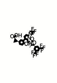 C[C@H]1[C@@H](c2cc(C(F)(F)F)cc(C(F)(F)F)c2)OC(=O)N1Cc1nc(N2CC(F)(F)C2)ccc1-c1cc([C@@H]2C[C@H]2C(=O)O)ccc1O